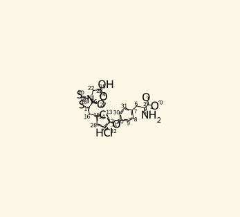 COC(=O)C(N)Cc1ccc(Oc2ccc(CC3SC(=S)N(CC(=O)O)C3=O)cc2)cc1.Cl